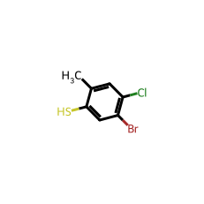 Cc1cc(Cl)c(Br)cc1S